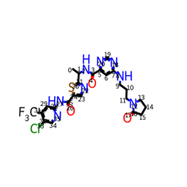 CC(NC(=O)c1cc(NCCCN2CCCC2=O)ncn1)c1ncc(C(=O)Nc2cc(C(F)(F)F)c(Cl)cn2)s1